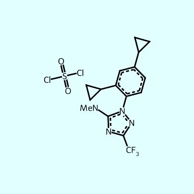 CNc1nc(C(F)(F)F)nn1-c1ccc(C2CC2)cc1C1CC1.O=S(=O)(Cl)Cl